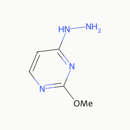 COc1nccc(NN)n1